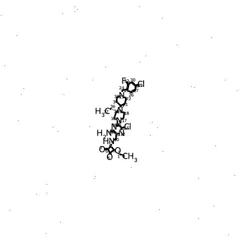 CCOC1C(=O)C(=O)C1NCc1nc(Cl)c(N2CCN(C3CCN(Cc4ccc(Cl)cc4F)CC3)[C@@H](CC)C2)nc1N